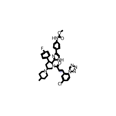 COC(=O)Nc1ccc(-c2c[nH]c(C3C(c4ccc(F)cc4)CC(N4CCC(C)CC4)CN3C(=O)/C=C/c3cc(Cl)ccc3-n3cnnn3)n2)cc1